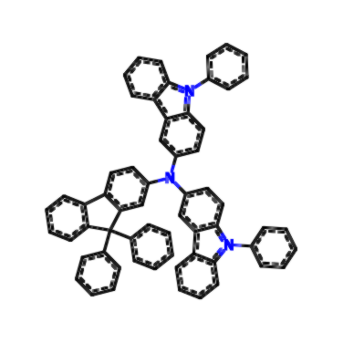 c1ccc(-n2c3ccccc3c3cc(N(c4ccc5c(c4)C(c4ccccc4)(c4ccccc4)c4ccccc4-5)c4ccc5c(c4)c4ccccc4n5-c4ccccc4)ccc32)cc1